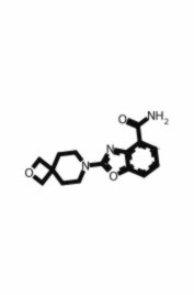 NC(=O)c1[c]ccc2oc(N3CCC4(CC3)COC4)nc12